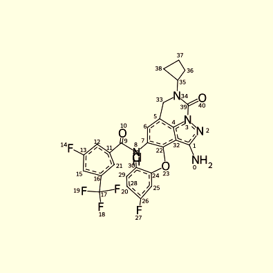 Nc1nn2c3c(cc(NC(=O)c4cc(F)cc(C(F)(F)F)c4)c(Oc4cc(F)ccc4Cl)c13)CN(C1CCC1)C2=O